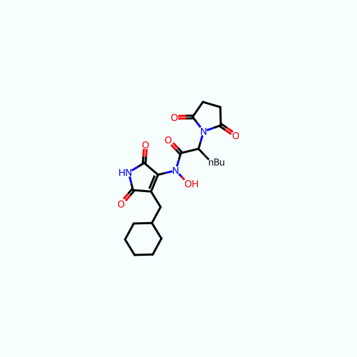 CCCCC(C(=O)N(O)C1=C(CC2CCCCC2)C(=O)NC1=O)N1C(=O)CCC1=O